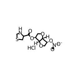 Cl.O=C(O[C@H]1CO[C@H]2[C@@H]1OC[C@H]2O[N+](=O)[O-])C1CSCN1